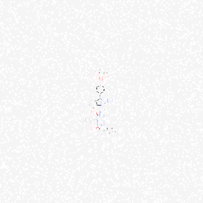 COC(=O)NC(C(=O)N1CCCC1c1[nH]c(-c2ccc(B3OC(C)(C)C(C)(C)O3)cc2)c2c1CCC2)C(C)C